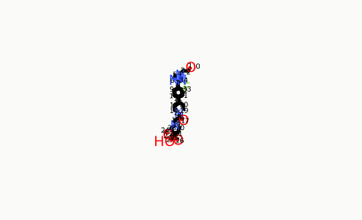 COCCn1cnc(-c2ccc(C3=CCN(C(=O)CN4CCC(OC)(C(=O)O)C4)CC3)cc2F)n1